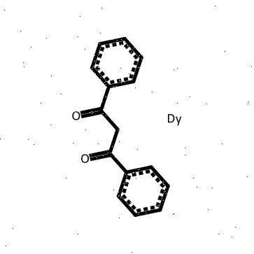 O=C(CC(=O)c1ccccc1)c1ccccc1.[Dy]